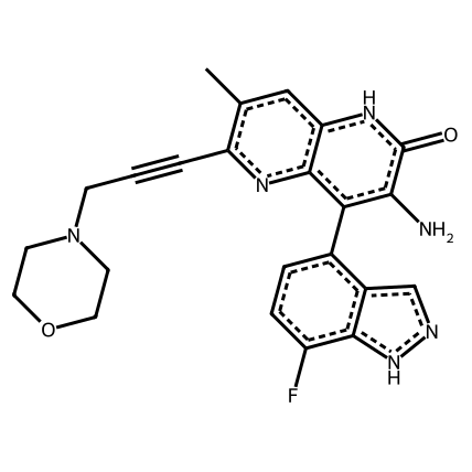 Cc1cc2[nH]c(=O)c(N)c(-c3ccc(F)c4[nH]ncc34)c2nc1C#CCN1CCOCC1